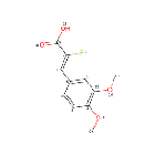 COc1ccc(C=C(F)C(=O)O)cc1OC